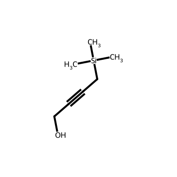 C[Si](C)(C)CC#CCO